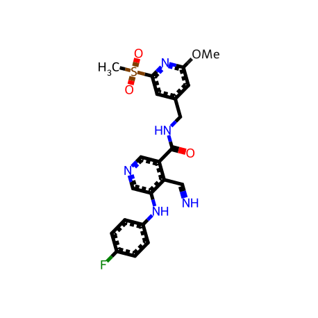 COc1cc(CNC(=O)c2cncc(Nc3ccc(F)cc3)c2C=N)cc(S(C)(=O)=O)n1